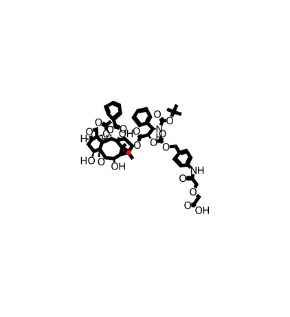 CC(=O)O[C@@]12CO[C@@H]1C[C@H](O)[C@@]1(C)C(=O)[C@H](O)C3=C(C)[C@@H](OC(=O)[C@H](OC(=O)OCc4ccc(NC(=O)COCC(=O)O)cc4)[C@@H](NC(=O)OC(C)(C)C)c4ccccc4)C[C@@](O)([C@@H](OC(=O)c4ccccc4)[C@H]21)C3(C)C